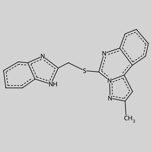 Cc1cc2c3ccccc3nc(SCc3nc4ccccc4[nH]3)n2n1